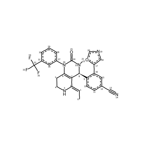 CC=C1NCCC2=C1[C@H](c1ccc(C#N)cc1-c1cnco1)N(C)C(=O)N2c1cccc(C(F)(F)F)c1